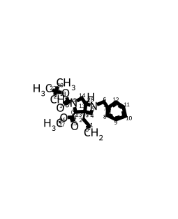 C=CC[C@]12CN(Cc3ccccc3)[C@H]1CN(C(=O)OC(C)(C)C)[C@@H]2C(=O)OC